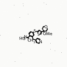 COC1(c2csc(Sc3ccc(/C(C)=N/O)c(Cc4ccncc4)c3)c2)CCOCC1